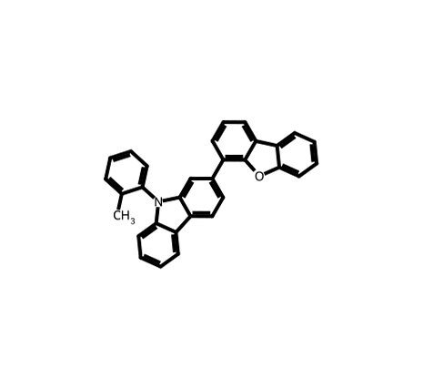 Cc1ccccc1-n1c2ccccc2c2ccc(-c3cccc4c3oc3ccccc34)cc21